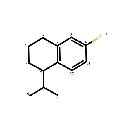 CC(C)C1CCCc2cc(F)ccc21